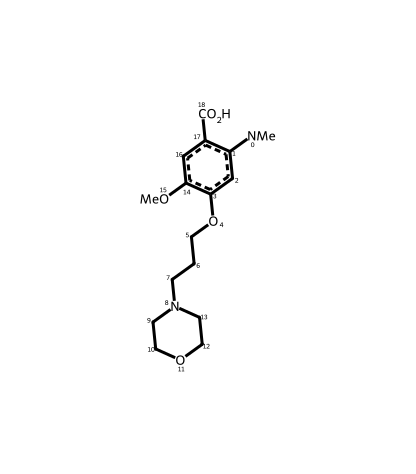 CNc1cc(OCCCN2CCOCC2)c(OC)cc1C(=O)O